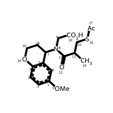 COc1ccc2c(c1)C(N(CC(=O)O)C(=O)C(C)CSC(C)=O)CCO2